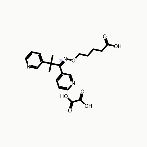 CC(C)(/C(=N/OCCCCC(=O)O)c1cccnc1)c1cccnc1.O=C(O)C(=O)O